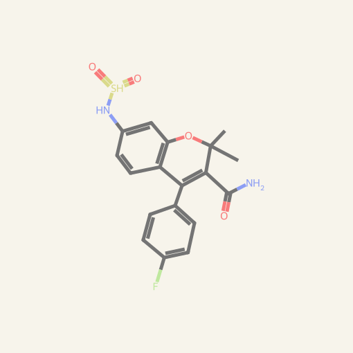 CC1(C)Oc2cc(N[SH](=O)=O)ccc2C(c2ccc(F)cc2)=C1C(N)=O